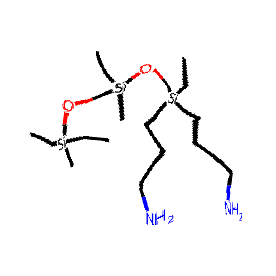 C[Si](C)(C)O[Si](C)(C)O[Si](C)(CCCN)CCCN